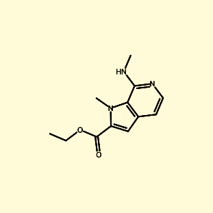 CCOC(=O)c1cc2ccnc(NC)c2n1C